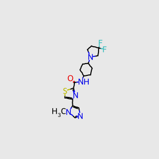 Cn1cncc1-c1csc(C(=O)NC2CCC(N3CCC(F)(F)C3)CC2)n1